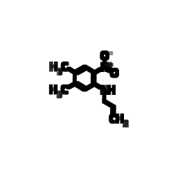 C=CCNc1cc(C)c(C)cc1[N+](=O)[O-]